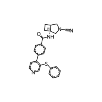 N#CN1CC2CC[C@]2(NC(=O)c2ccc(-c3ccncc3Sc3ccccc3)cc2)C1